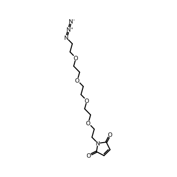 [N-]=[N+]=NCCOCCOCCOCCOCCN1C(=O)C=CC1=O